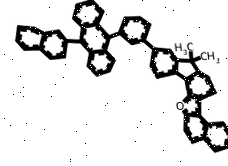 CC1(C)c2cc(-c3cccc(-c4c5ccccc5c(-c5ccc6ccccc6c5)c5ccccc45)c3)ccc2-c2c1ccc1c2oc2ccc3ccccc3c21